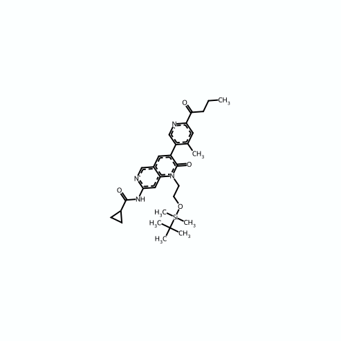 CCCC(=O)c1cc(C)c(-c2cc3cnc(NC(=O)C4CC4)cc3n(CCO[Si](C)(C)C(C)(C)C)c2=O)cn1